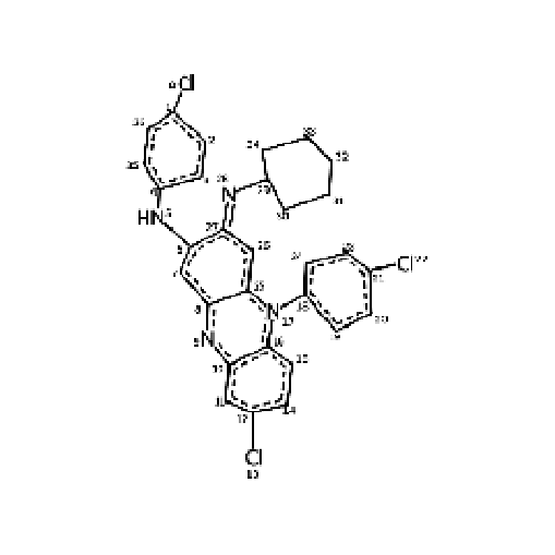 Clc1ccc(Nc2cc3nc4cc(Cl)ccc4n(-c4ccc(Cl)cc4)c-3cc2=NC2CCCCC2)cc1